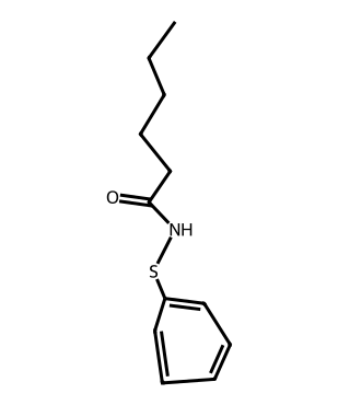 CCCCCC(=O)NSc1ccccc1